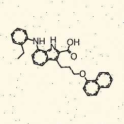 CCc1ccccc1Nc1cccc2c(CCCOc3cccc4ccccc34)c(C(=O)O)[nH]c12